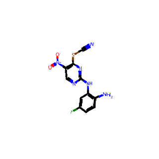 N#CSc1nc(Nc2cc(F)ccc2N)ncc1[N+](=O)[O-]